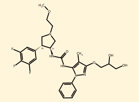 COCCN1C[C@@H](NC(=O)Nc2c(C)c(OCC(O)CO)nn2-c2ccccc2)[C@H](c2cc(F)c(F)c(F)c2)C1